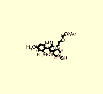 COCOCCN1C(=O)C(c2c(C)cc(C)cc2C)=C(O)C12CCN(O)CC2